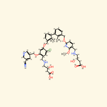 COc1nc(OCc2cccc(-c3cccc(COc4cc(OCc5cncc(C#N)c5)c(CNC[C@@H](O)CC(=O)O)cc4Cl)c3C)c2C)ccc1CNC[C@@H](O)CC(=O)O